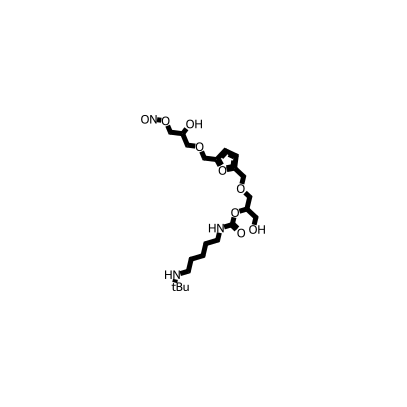 CC(C)(C)NCCCCCNC(=O)OC(CO)COCc1ccc(COCC(O)CON=O)o1